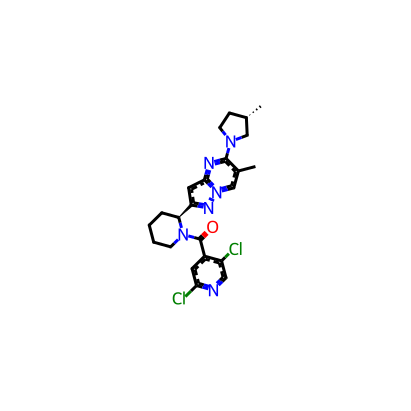 Cc1cn2nc([C@@H]3CCCCN3C(=O)c3cc(Cl)ncc3Cl)cc2nc1N1CC[C@H](C)C1